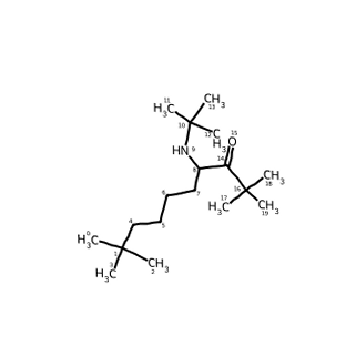 CC(C)(C)CCCCC(NC(C)(C)C)C(=O)C(C)(C)C